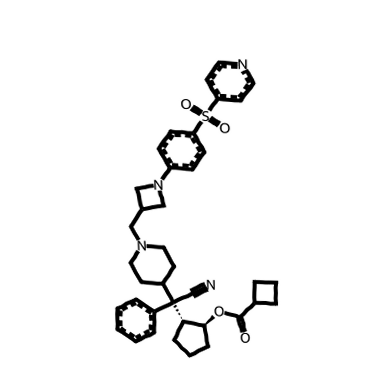 N#CC(c1ccccc1)(C1CCN(CC2CN(c3ccc(S(=O)(=O)c4ccncc4)cc3)C2)CC1)[C@H]1CCC[C@@H]1OC(=O)C1CCC1